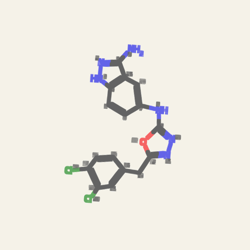 Nc1n[nH]c2ccc(Nc3nnc(Cc4ccc(Cl)c(Cl)c4)o3)cc12